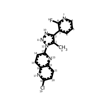 Cc1c(-c2cccnc2F)nnn1-c1ccc2nc(Cl)ccc2n1